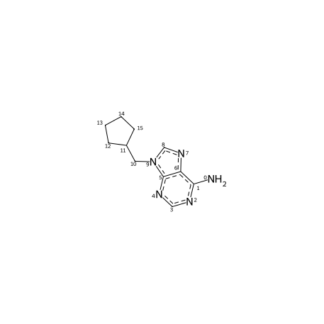 Nc1ncnc2c1ncn2CC1CCCC1